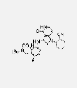 CC(C)(C)N(Cc1cc(Nc2nn(C3CCCCC3C#N)c3cc[nH]c(=O)c23)ccc1F)C(=O)O